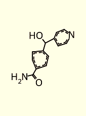 NC(=O)c1ccc(C(O)c2ccncc2)cc1